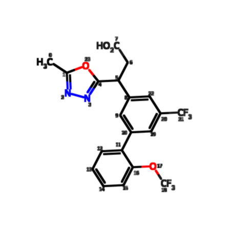 Cc1nnc(C(CC(=O)O)c2cc(-c3ccccc3OC(F)(F)F)cc(C(F)(F)F)c2)o1